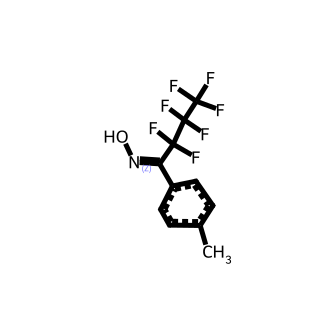 Cc1ccc(/C(=N/O)C(F)(F)C(F)(F)C(F)(F)F)cc1